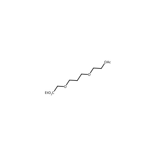 CCOC(=O)COCCCOCCOC(C)=O